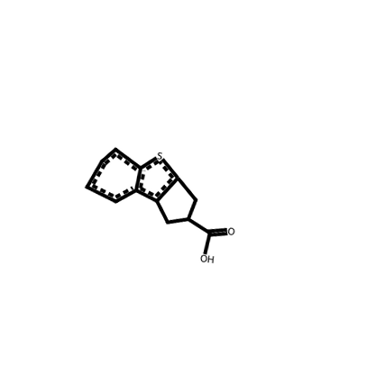 O=C(O)C1Cc2sc3ccccc3c2C1